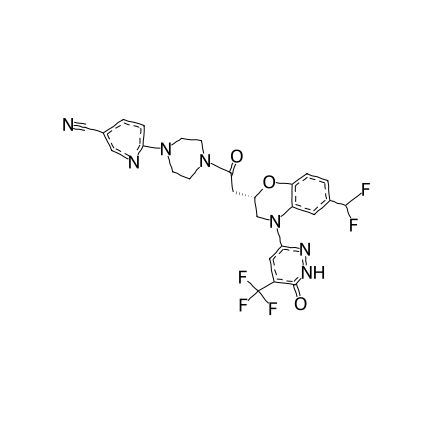 N#Cc1ccc(N2CCN(C(=O)C[C@H]3CN(c4cc(C(F)(F)F)c(=O)[nH]n4)c4cc(C(F)F)ccc4O3)CC2)nc1